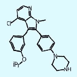 CC(C)Oc1cccc(-c2c(-c3ccc(N4CCNCC4)cc3)n(C)c3nccc(Cl)c23)c1